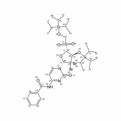 CC(C)[Si](OCS(=O)(=O)[C@H]1O[C@@H](n2ccc(NC(=O)c3ccccc3)nc2=O)C(Br)(Br)[C@@H]1O[Si](C(C)C)(C(C)C)C(C)C)(C(C)C)C(C)C